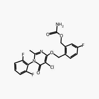 Cc1nc(OCc2ccc(F)cc2COC(N)=O)c(Cl)c(=O)n1-c1c(F)cccc1F